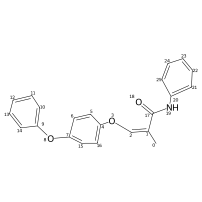 CC(=COc1ccc(Oc2ccccc2)cc1)C(=O)Nc1ccccc1